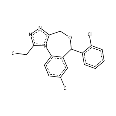 ClCc1nnc2n1-c1ccc(Cl)cc1C(c1ccccc1Cl)OC2